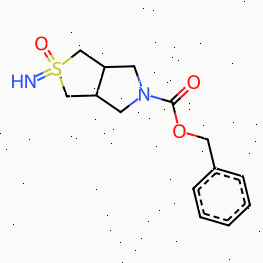 N=S1(=O)CC2CN(C(=O)OCc3ccccc3)CC2C1